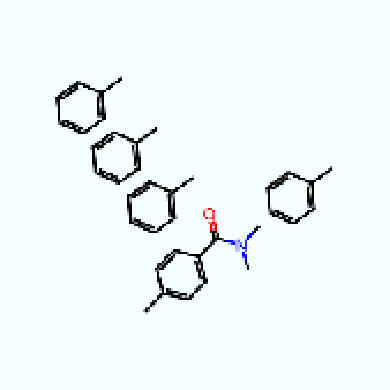 Cc1ccc(C(=O)N(C)C)cc1.Cc1ccccc1.Cc1ccccc1.Cc1ccccc1.Cc1ccccc1